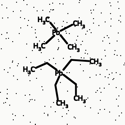 C[CH2][Pb]([CH2]C)([CH2]C)[CH2]C.[CH3][Pb]([CH3])([CH3])[CH3]